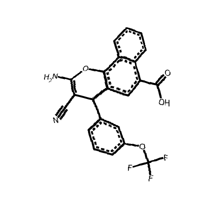 N#CC1=C(N)Oc2c(cc(C(=O)O)c3ccccc23)C1c1cccc(OC(F)(F)F)c1